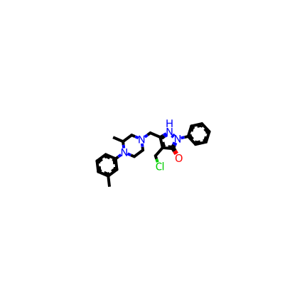 Cc1cccc(N2CCN(Cc3[nH]n(-c4ccccc4)c(=O)c3CCl)CC2C)c1